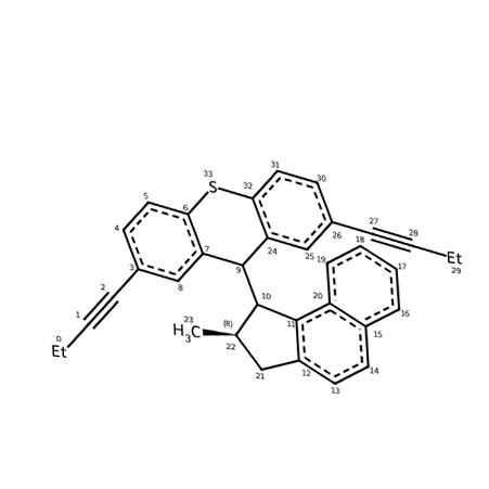 CCC#Cc1ccc2c(c1)C(C1c3c(ccc4ccccc34)C[C@H]1C)c1cc(C#CCC)ccc1S2